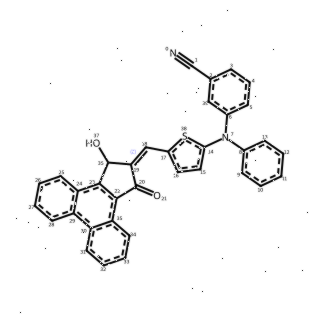 N#Cc1cccc(N(c2ccccc2)c2ccc(/C=C3\C(=O)c4c(c5ccccc5c5ccccc45)C3O)s2)c1